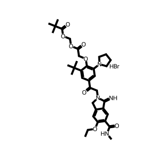 Br.CCOc1cc2c(cc1C(=O)NC)C(=N)N(CC(=O)c1cc(N3CCCC3)c(OCC(=O)OCOC(=O)C(C)(C)C)c(C(C)(C)C)c1)C2